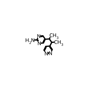 CC(c1ccnnc1)C(C)c1cnc(N)nc1